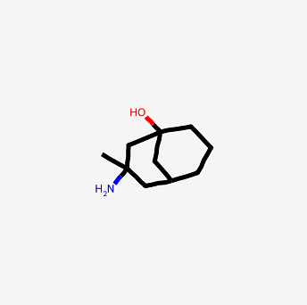 CC1(N)CC2CCCC(O)(C2)C1